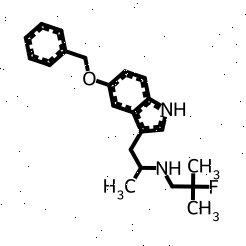 CC(Cc1c[nH]c2ccc(OCc3ccccc3)cc12)NCC(C)(C)F